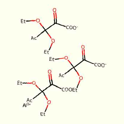 CCOC(OCC)(C(C)=O)C(=O)C(=O)[O-].CCOC(OCC)(C(C)=O)C(=O)C(=O)[O-].CCOC(OCC)(C(C)=O)C(=O)C(=O)[O-].[Al+3]